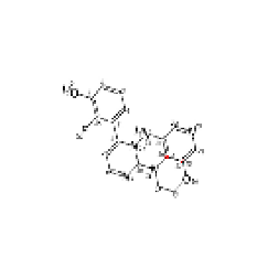 Oc1cccc(C2=CC=NC(N3CCOCC3)N2Nc2cccnc2)c1F